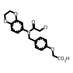 O=C(O)COc1ccc(CN(C(=O)CCl)c2ccc3c(c2)OCCO3)cc1